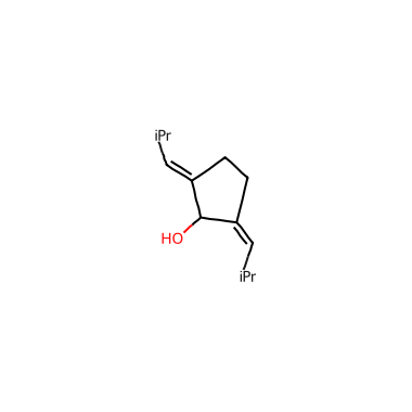 CC(C)C=C1CCC(=CC(C)C)C1O